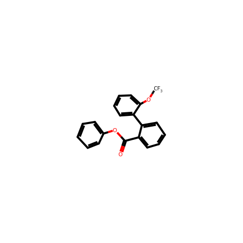 O=C(Oc1ccccc1)c1ccccc1-c1ccccc1OC(F)(F)F